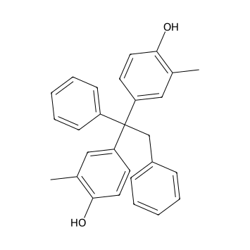 Cc1cc(C(Cc2ccccc2)(c2ccccc2)c2ccc(O)c(C)c2)ccc1O